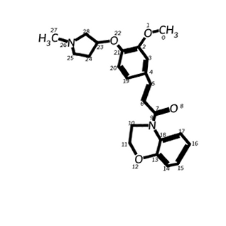 COc1cc(/C=C/C(=O)N2CCOc3ccccc32)ccc1OC1CCN(C)C1